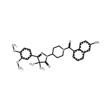 COc1ccc(C2=NN(C3CCN(C(=O)c4cccc5cc(O)ccc45)CC3)C(=O)C2(C)C)cc1OC